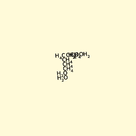 C.C.C.C.C.C.O.O.O.O